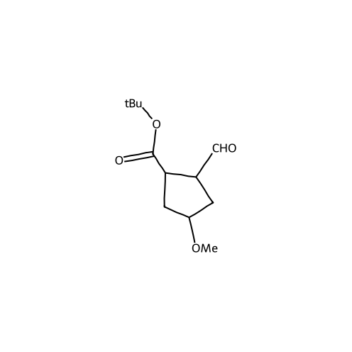 COC1CC(C=O)C(C(=O)OC(C)(C)C)C1